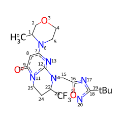 CC1COCCN1c1cc(=O)n2c(n1)N(Cc1nc(C(C)(C)C)no1)C(C(F)(F)F)CC2